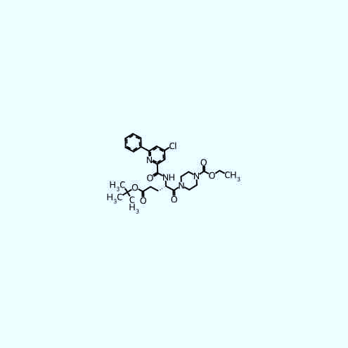 CCOC(=O)N1CCN(C(=O)[C@H](CCC(=O)OC(C)(C)C)NC(=O)c2cc(Cl)cc(-c3ccccc3)n2)CC1